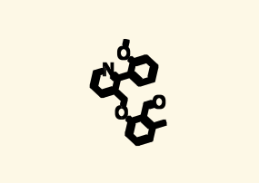 COc1ccccc1-c1ncccc1COc1cccc(C)c1C=O